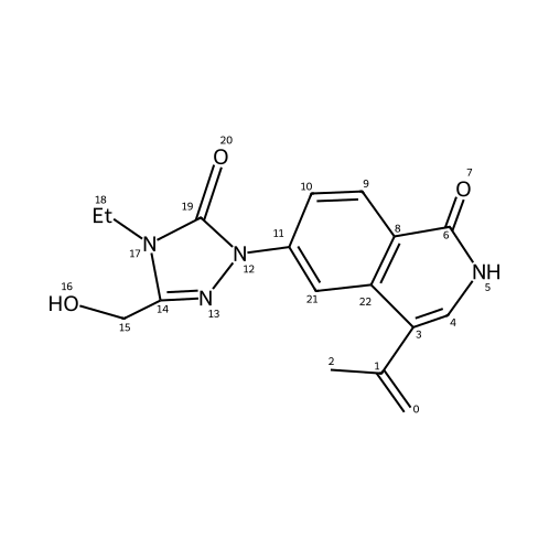 C=C(C)c1c[nH]c(=O)c2ccc(-n3nc(CO)n(CC)c3=O)cc12